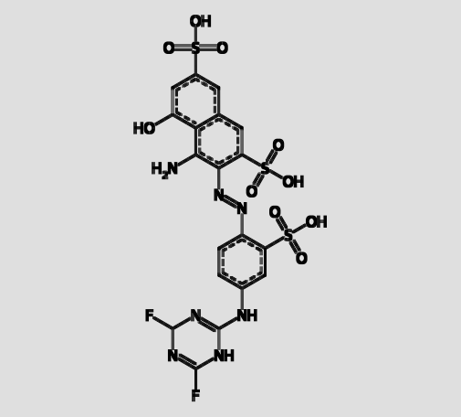 Nc1c(N=Nc2ccc(NC3=NC(F)N=C(F)N3)cc2S(=O)(=O)O)c(S(=O)(=O)O)cc2cc(S(=O)(=O)O)cc(O)c12